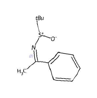 C/C(=N/[S+]([O-])C(C)(C)C)c1ccccc1